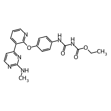 CCOC(=O)NC(=O)Nc1ccc(Oc2ncccc2-c2ccnc(NC)n2)cc1